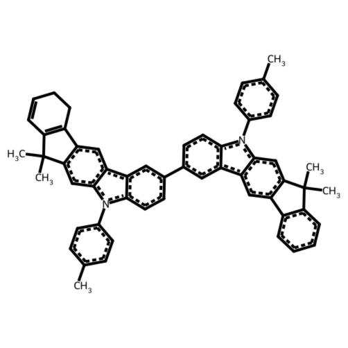 Cc1ccc(-n2c3ccc(-c4ccc5c(c4)c4cc6c(cc4n5-c4ccc(C)cc4)C(C)(C)c4ccccc4-6)cc3c3cc4c(cc32)C(C)(C)C2=C4CCC=C2)cc1